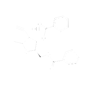 C#C[C@]1(O)C(C)O[C@H](COC(=O)c2ccccc2)[C@H]1OC(=O)c1ccccc1